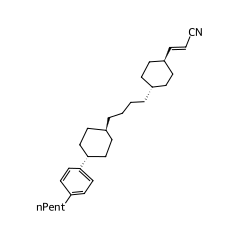 CCCCCc1ccc([C@H]2CC[C@H](CCCC[C@H]3CC[C@H](C=CC#N)CC3)CC2)cc1